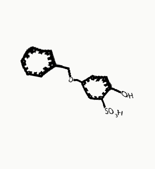 O=S(=O)(O)c1cc(OCc2ccccc2)ccc1O